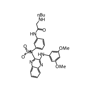 CCCCNCC(=O)Nc1cccc(N(c2nc3ccccc3nc2Nc2cc(OC)cc(OC)c2)[SH](=O)=O)c1